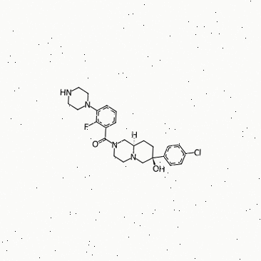 O=C(c1cccc(N2CCNCC2)c1F)N1CCN2C[C@@](O)(c3ccc(Cl)cc3)CC[C@@H]2C1